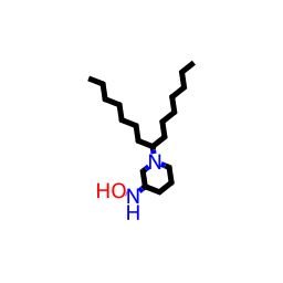 CCCCCCCC(CCCCCCC)N1CCCC(NO)C1